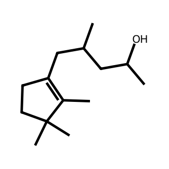 CC1=C(CC(C)CC(C)O)CCC1(C)C